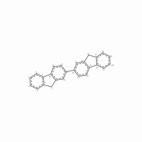 c1ccc2c(c1)Cc1cc(-c3ccc4c(c3)Cc3ccccc3-4)ccc1-2